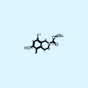 Cc1c(O)cc(F)c2c1CCN(C(=O)OC(C)(C)C)C2